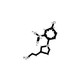 NCCC1CCN(c2ccc(Cl)cc2[N+](=O)[O-])C1